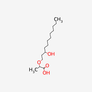 CCCCCCCCCC(O)CCOC(C)C(=O)O